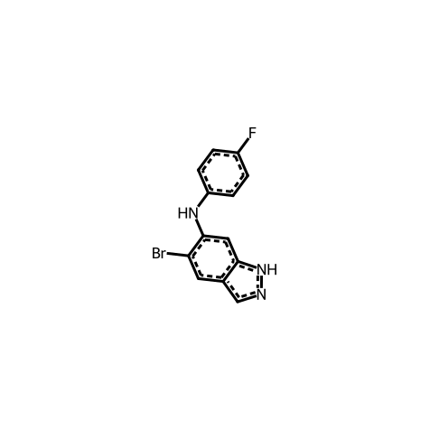 Fc1ccc(Nc2cc3[nH]ncc3cc2Br)cc1